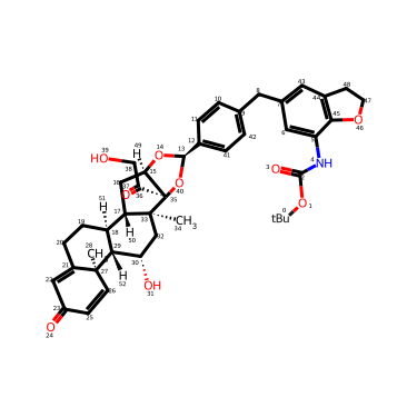 CC(C)(C)OC(=O)Nc1cc(Cc2ccc([C@@H]3O[C@@H]4C[C@H]5[C@@H]6CCC7=CC(=O)C=C[C@]7(C)[C@H]6[C@@H](O)C[C@]5(C)[C@]4(C(=O)CO)O3)cc2)cc2c1OCC2